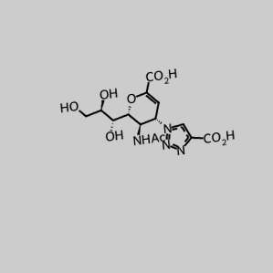 CC(=O)N[C@H]1[C@H]([C@H](O)[C@H](O)CO)OC(C(=O)O)=C[C@@H]1n1cc(C(=O)O)nn1